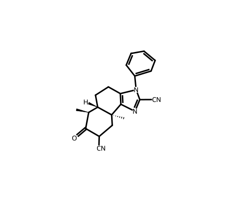 C[C@@H]1C(=O)C(C#N)C[C@]2(C)c3nc(C#N)n(-c4ccccc4)c3CC[C@@H]12